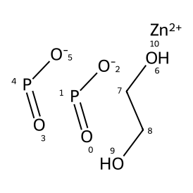 O=P[O-].O=P[O-].OCCO.[Zn+2]